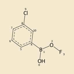 OB(OF)c1cccc(Cl)c1